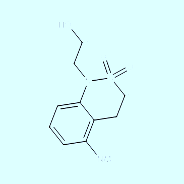 CNc1cccc2c1CCS(=O)(=O)N2CCO